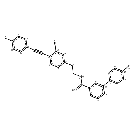 Cc1ccc(C#Cc2ccc(CCNC(=O)c3cccc(-c4ccc(Cl)cc4)c3)cc2F)cc1